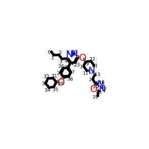 CCCCc1nnc(OC2CCN(CCc3nnc(C)o3)CC2)cc1-c1ccc(OC2CCCCC2)cc1